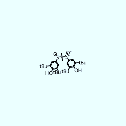 CC(C)(C)c1cc([S+]([O-])C(C)(C)[S+]([O-])c2cc(C(C)(C)C)c(O)c(C(C)(C)C)c2)cc(C(C)(C)C)c1O